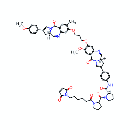 COc1ccc(C2=CN3C(=O)c4cc(C)c(OCCCOc5cc6c(cc5OC)C(=O)N5C=C(c7ccc(NC(=O)[C@@H]8CCCN8C(=O)C8CCCN8C(=O)CCCCCN8C(=O)C=CC8=O)cc7)C[C@H]5C=N6)cc4N=C[C@@H]3C2)cc1